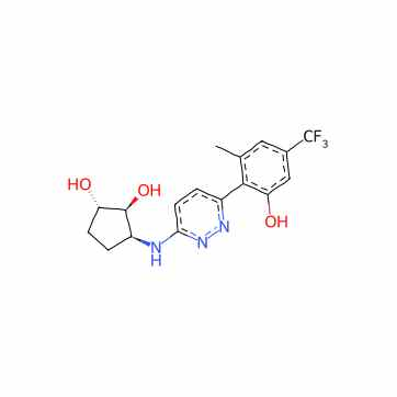 Cc1cc(C(F)(F)F)cc(O)c1-c1ccc(N[C@H]2CC[C@H](O)[C@H]2O)nn1